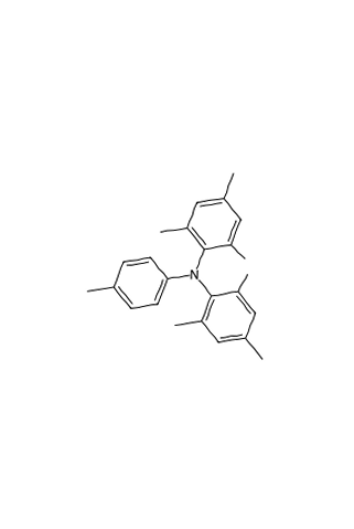 Cc1ccc(N(c2c(C)cc(C)cc2C)c2c(C)cc(C)cc2C)cc1